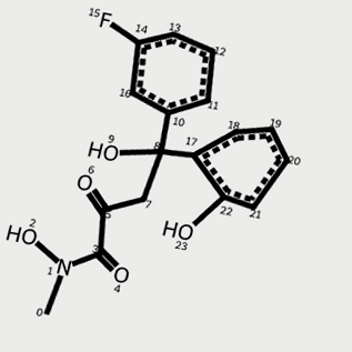 CN(O)C(=O)C(=O)CC(O)(c1cccc(F)c1)c1ccccc1O